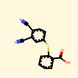 N#Cc1ccc(Sc2ccccc2C(=O)O)cc1C#N